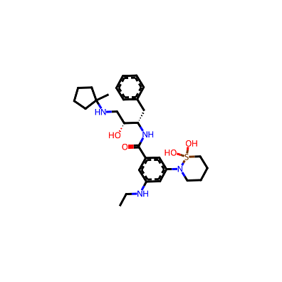 CCNc1cc(C(=O)N[C@@H](Cc2ccccc2)[C@H](O)CNC2(C)CCCC2)cc(N2CCCCS2(O)O)c1